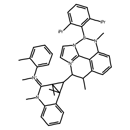 Cc1ccccc1/[N+](C)=C1/N(C)c2ccccc2C2(C)C(C3C(C)c4cccc5c4-c4n(cc[n+]43)B(c3c(C(C)C)cccc3C(C)C)N5C)C12C